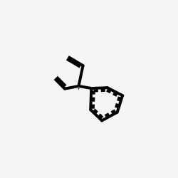 C=C[C](C=C)c1ccccc1